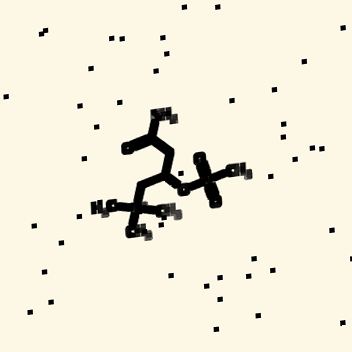 C[N+](C)(C)CC(CC(N)=O)OS(C)(=O)=O